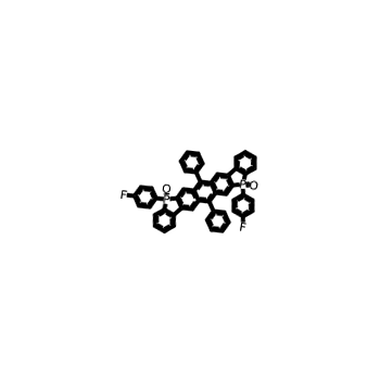 O=P1(c2ccc(F)cc2)c2ccccc2-c2cc3c(-c4ccccc4)c4cc5c(cc4c(-c4ccccc4)c3cc21)-c1ccccc1P5(=O)c1ccc(F)cc1